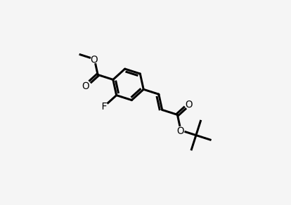 COC(=O)c1ccc(C=CC(=O)OC(C)(C)C)cc1F